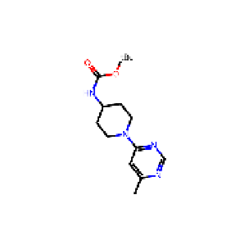 Cc1cc(N2CCC(NC(=O)OC(C)(C)C)CC2)ncn1